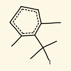 Cc1cccc(C)c1C(C)(C)I